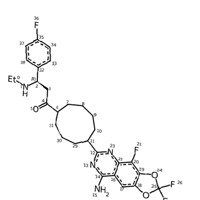 CCN[C@H](CC(=O)C1CCCCC(c2nc(N)c3cc4c(c(F)c3n2)OC(F)(F)O4)CCC1)c1ccc(F)cc1